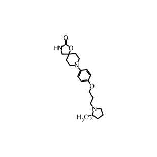 C[C@@H]1CCCN1CCCOc1ccc(N2CCC3(CC2)CNC(=O)O3)cc1